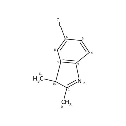 CC1=Nc2ccc(I)cc2C1C